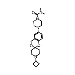 CN(C)C(=O)N1CCN(c2ccc3c(c2)COC2(CCN(C4CCC4)CC2)O3)CC1